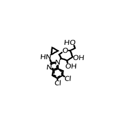 OCC1OCC(n2c(NC3CC3)nc3cc(Cl)c(Cl)cc32)C(O)C1O